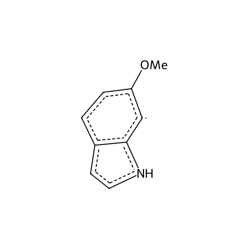 COc1[c]c2[nH]ccc2cc1